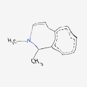 CC1c2ccccc2C=CN1C